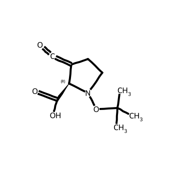 CC(C)(C)ON1CCC(=C=O)[C@@H]1C(=O)O